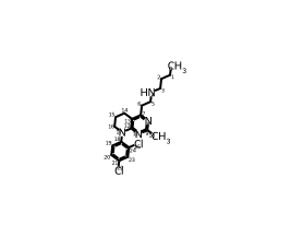 CCCCNCCc1nc(C)nc2c1CCCN2c1ccc(Cl)cc1Cl